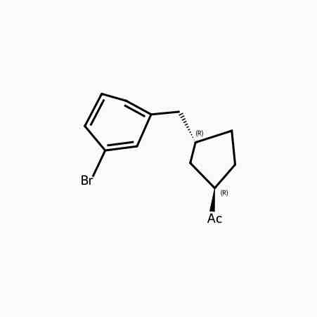 CC(=O)[C@@H]1CC[C@@H](Cc2cccc(Br)c2)C1